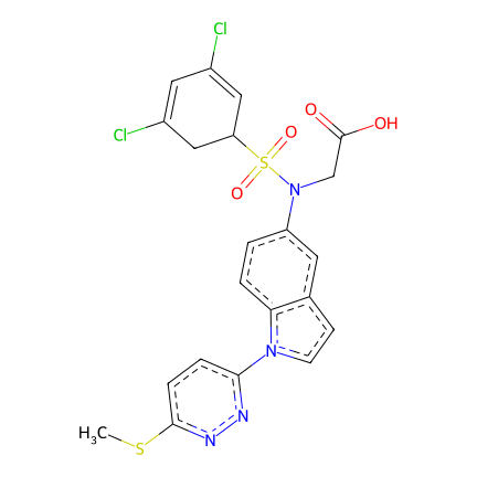 CSc1ccc(-n2ccc3cc(N(CC(=O)O)S(=O)(=O)C4C=C(Cl)C=C(Cl)C4)ccc32)nn1